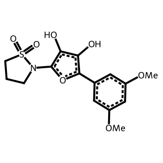 COc1cc(OC)cc(-c2oc(N3CCCS3(=O)=O)c(O)c2O)c1